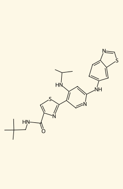 CC(C)Nc1cc(Nc2ccc3ncsc3c2)ncc1-c1nc(C(=O)NCC(C)(C)C)cs1